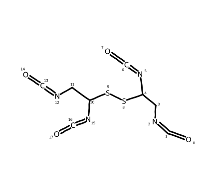 O=C=NCC(N=C=O)SSC(CN=C=O)N=C=O